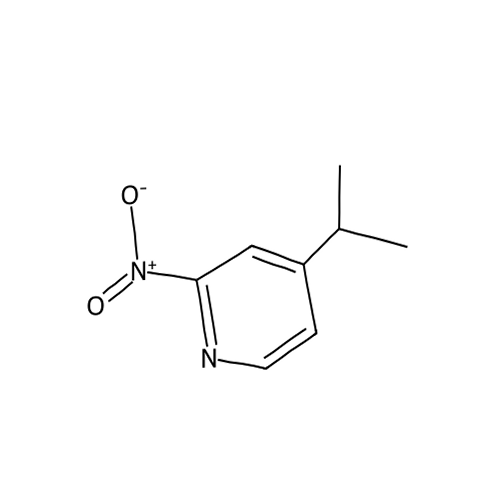 CC(C)c1ccnc([N+](=O)[O-])c1